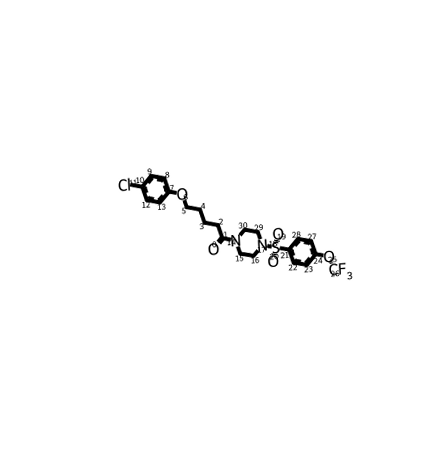 O=C(CCCCOc1ccc(Cl)cc1)N1CCN(S(=O)(=O)c2ccc(OC(F)(F)F)cc2)CC1